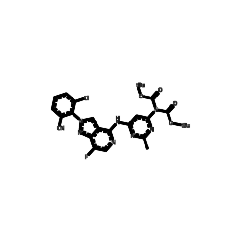 Cc1nc(Nc2ncc(F)c3nn(-c4c(Cl)cccc4C#N)cc23)cc(N(C(=O)OC(C)(C)C)C(=O)OC(C)(C)C)n1